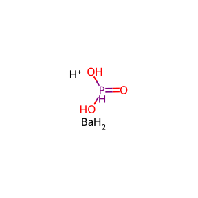 O=[PH](O)O.[BaH2].[H+]